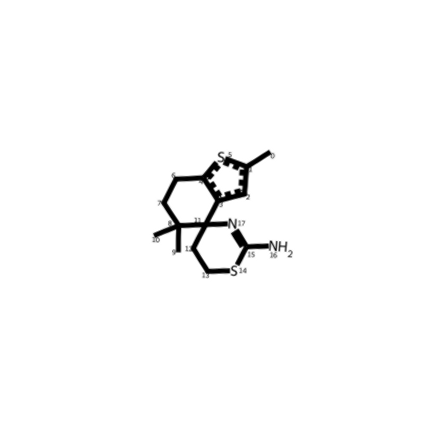 Cc1cc2c(s1)CCC(C)(C)C21CCSC(N)=N1